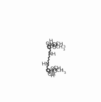 CC(C)OC(=O)Nc1cc(CCNCCCCCCNCCc2ccc(O)c(NC(=O)OC(C)C)c2)ccc1O